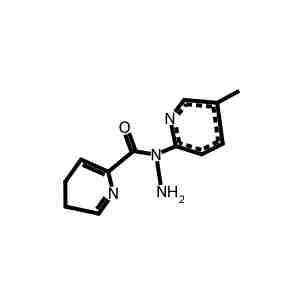 Cc1ccc(N(N)C(=O)C2=CCCC=N2)nc1